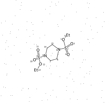 CCOS(=O)(=O)N1CCN(S(=O)(=O)OCC)CC1